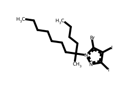 CCCCCCCC(C)(CCCC)n1nc(I)c(I)c1Br